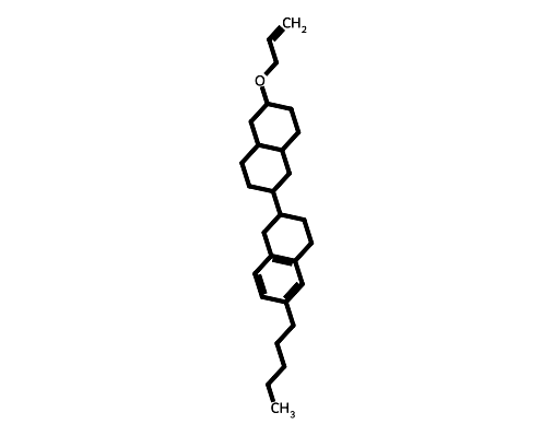 C=CCOC1CCC2CC(C3CCc4cc(CCCCC)ccc4C3)CCC2C1